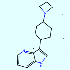 c1cnc2c(C3CCC(N4CCC4)CC3)c[nH]c2c1